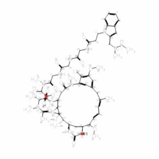 CNN(C)Cc1cc2ccccc2n1CCC(=O)NCC(=O)NCC(=O)NCC(=O)N(C)C(C)C(=O)O[C@]1(OC(=O)[C@H](C)N(C)C(C)=O)CC(=O)N(C)c2cc(cc(OC)c2Cl)C/C(C)=C/C=C/C(OC)[C@@]2(O)C[C@H](OC(=O)N2)[C@@H](C)[C@@H]2O[C@]21C